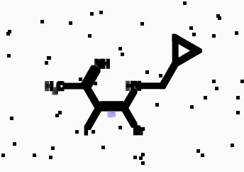 CC(=N)/C(I)=C(/Br)NCC1CC1